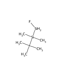 CC(C)(C)[Si](C)(C)[SiH2]F